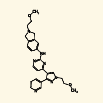 COCCN1Cc2ccc(Nc3nccc(-c4cn(CCOC)nc4-c4cccnc4)n3)cc2C1